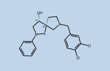 O[C@H]1CN(c2ccccc2)S[C@@]12CCN(Cc1ccc(Cl)c(Cl)c1)C2